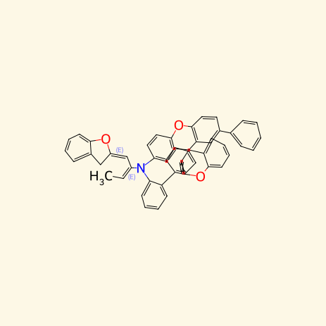 C/C=C(\C=C1/Cc2ccccc2O1)N(c1ccc2c(c1)C1(c3ccccc3Oc3ccccc31)c1cc(-c3ccccc3)ccc1O2)c1ccccc1-c1ccccc1